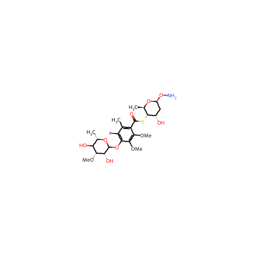 COc1c(OC2O[C@@H](C)C(O)[C@@H](OC)[C@H]2O)c(I)c(C)c(C(=O)S[C@H]2[C@@H](O)C[C@H](ON)O[C@@H]2C)c1OC